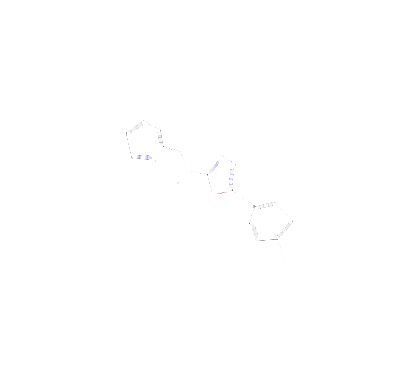 [O-][S@@+](Cc1ccccn1)c1nnc(-c2ccc(F)cc2)o1